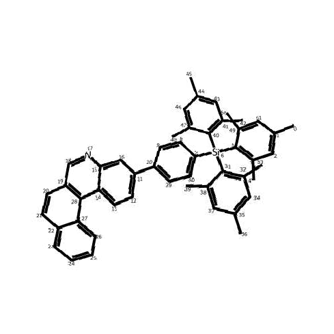 Cc1cc(C)c([Si](c2ccc(-c3ccc4c(c3)ncc3ccc5ccccc5c34)cc2)(c2c(C)cc(C)cc2C)c2c(C)cc(C)cc2C)c(C)c1